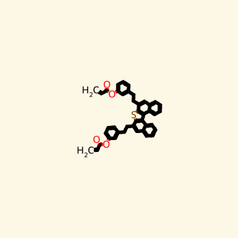 C=CC(=O)Oc1cccc(CCc2cc3ccccc3c3c2sc2c(CCc4cccc(OC(=O)C=C)c4)cc4ccccc4c23)c1